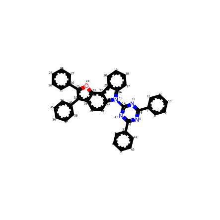 c1ccc(-c2nc(-c3ccccc3)nc(-n3c4ccccc4c4c5oc(-c6ccccc6)c(-c6ccccc6)c5ccc43)n2)cc1